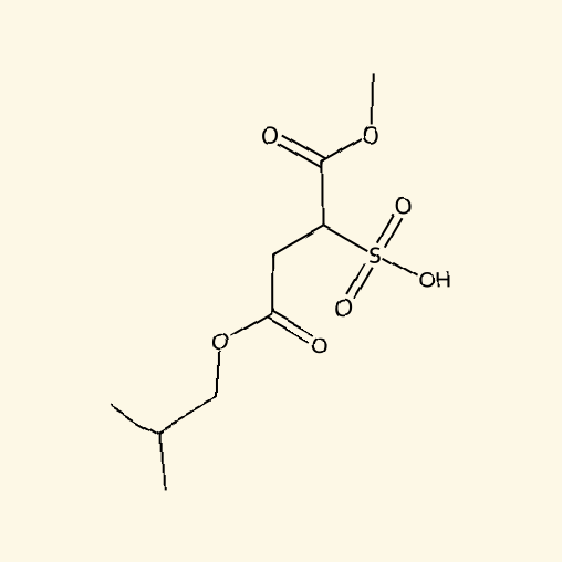 COC(=O)C(CC(=O)OCC(C)C)S(=O)(=O)O